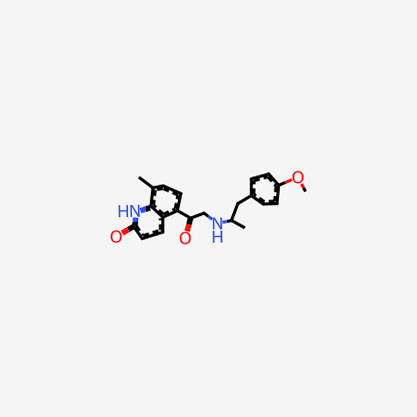 COc1ccc(CC(C)NCC(=O)c2ccc(C)c3[nH]c(=O)ccc23)cc1